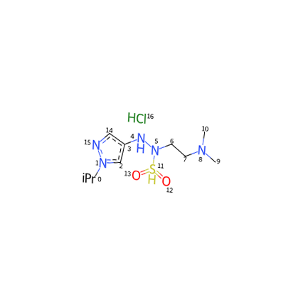 CC(C)n1cc(NN(CCN(C)C)[SH](=O)=O)cn1.Cl